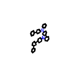 C1=CCC2C(=C1)C1=CC=C(N(C3=CCC(c4ccccc4)C=C3)c3ccccc3)CC1N2C1=CC=C(C2=CC=CC(c3ccccc3)C2)CC1